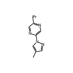 Cc1cnn(-c2cnc(C(C)C)cn2)c1